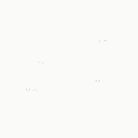 CCCCCC(Cc1c(OC)ccc(NC)c1OC)C(=O)O